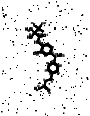 C[C@@](O)(C(=O)Nc1ccc([S+]([O-])c2ccc(OCC(N)=O)cc2)cc1Cl)C(F)(F)F